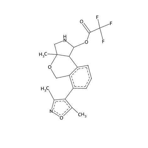 Cc1noc(C)c1-c1cccc2c1COC1(C)CNC(OC(=O)C(F)(F)F)C21